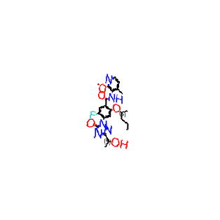 CCC[C@H](C)Oc1cc(-n2nc([C@H](C)O)n(C)c2=O)c(F)cc1C(=O)Nc1c(C)ccnc1OC